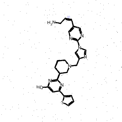 NC/C=C\c1cnc(-n2cnc(CN3CCCC(c4nc(O)cc(-c5cccs5)n4)C3)c2)nc1